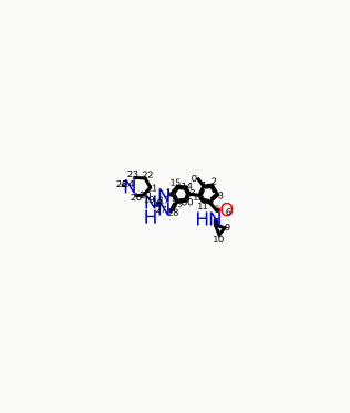 Cc1ccc(C(=O)NC2CC2)cc1-c1ccc2nc(N[C@H]3CCCN(C)C3)ncc2c1